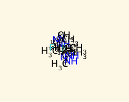 CNC1=NC(CC(C)(C)C2NC(N(C)C)=NC=C2F)=C(F)C(C(C)(C)C)N1